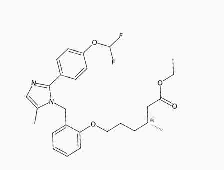 CCOC(=O)C[C@H](C)CCCOc1ccccc1Cn1c(C)cnc1-c1ccc(OC(F)F)cc1